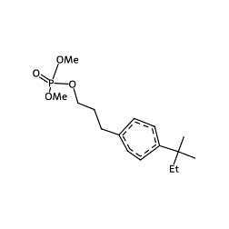 CCC(C)(C)c1ccc(CCCOP(=O)(OC)OC)cc1